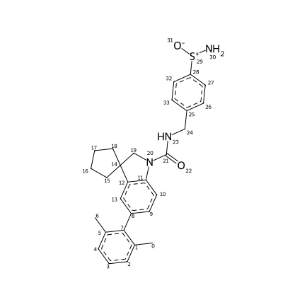 Cc1cccc(C)c1-c1ccc2c(c1)C1(CCCC1)CN2C(=O)NCc1ccc([S+](N)[O-])cc1